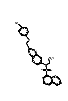 CCOC(=O)CN(c1ccc2sc(COc3ccc(C#N)cc3)nc2c1)S(=O)(=O)c1cccc2cccnc12